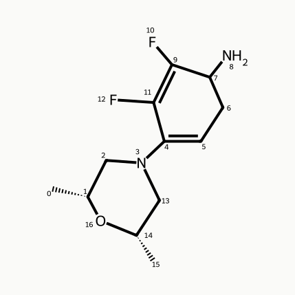 C[C@@H]1CN(C2=CCC(N)C(F)=C2F)C[C@H](C)O1